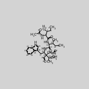 CC[C@H](C)[C@H](NC(C)=O)C(=O)N[C@H](C(=O)NC(Cc1c[nH]c2ccccc12)C([C]=O)(O[PH](=O)O)C(C)C)[C@@H](C)CC